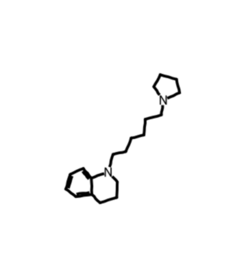 c1ccc2c(c1)CCCN2CCCCCCN1CCCC1